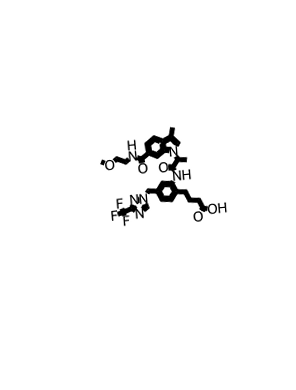 COCCNC(=O)c1ccc2c(C)cn(C(C)C(=O)Nc3cc(Cn4cnc(C(F)(F)F)n4)ccc3CCCC(=O)O)c2c1